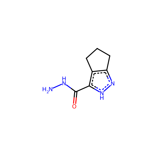 NNC(=O)c1[nH]nc2c1CCC2